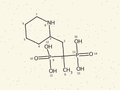 CC(CC1CCCCN1)(P(=O)(O)O)P(=O)(O)O